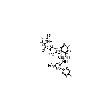 Cc1ccc(-n2nc(C(C)(C)C)cc2NC(=O)Nc2ccccc2CC2CCN(C(=O)C3CCC(=O)N3)CC2)cc1